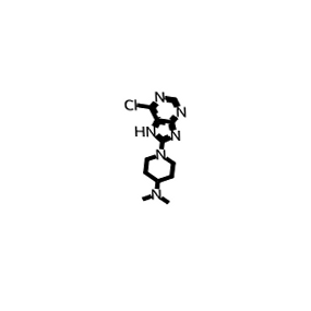 CN(C)C1CCN(c2nc3ncnc(Cl)c3[nH]2)CC1